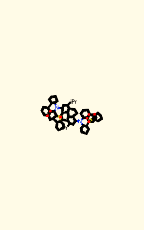 CC(C)c1cc(N(c2ccccc2-c2ccccc2)c2cccc3c2sc2ccccc23)c2ccc3c(C(C)C)cc(N(c4ccccc4-c4ccccc4)c4cccc5c4sc4ccccc45)c4ccc1c2c34